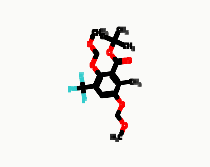 COCOc1cc(C(F)(F)F)c(OCOC)c(C(=O)OC(C)(C)C)c1C